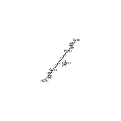 O=C(O)C(F)(F)F.O=C(O)CNCC(=O)NCC(=O)NCCOCCOCCOCCOCCNC(=O)CNC(=O)CNCC(=O)O